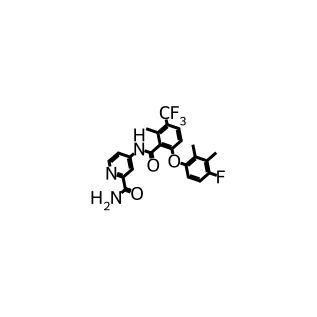 Cc1c(F)ccc(Oc2ccc(C(F)(F)F)c(C)c2C(=O)Nc2ccnc(C(N)=O)c2)c1C